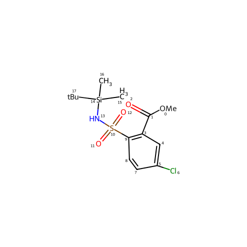 COC(=O)c1cc(Cl)ccc1S(=O)(=O)N[Si](C)(C)C(C)(C)C